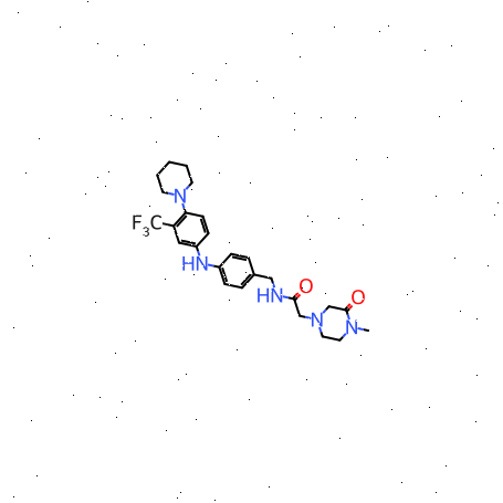 CN1CCN(CC(=O)NCc2ccc(Nc3ccc(N4CCCCC4)c(C(F)(F)F)c3)cc2)CC1=O